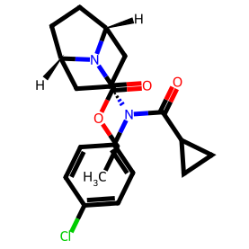 CCOC(=O)N1[C@@H]2CC[C@H]1C[C@@H](N(C(=O)C1CC1)c1ccc(Cl)cc1)C2